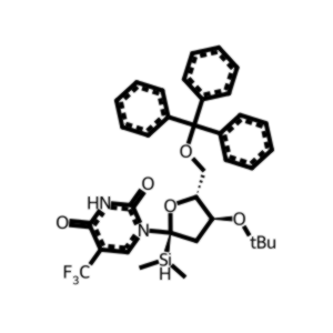 C[SiH](C)[C@]1(n2cc(C(F)(F)F)c(=O)[nH]c2=O)C[C@H](OC(C)(C)C)[C@@H](COC(c2ccccc2)(c2ccccc2)c2ccccc2)O1